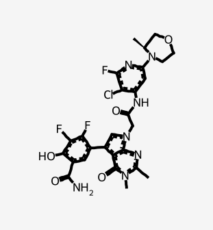 Cc1nc2c(c(-c3cc(C(N)=O)c(O)c(F)c3F)cn2CC(=O)Nc2cc(N3CCOC[C@@H]3C)nc(F)c2Cl)c(=O)n1C